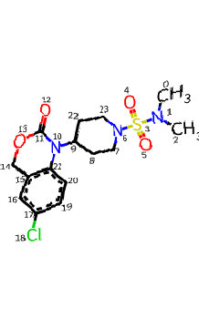 CN(C)S(=O)(=O)N1CCC(N2C(=O)OCc3cc(Cl)ccc32)CC1